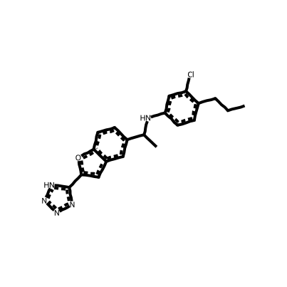 CCCc1ccc(NC(C)c2ccc3oc(-c4nnn[nH]4)cc3c2)cc1Cl